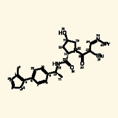 Cc1ncsc1-c1ccc([C@H](C)NC(=O)[C@@H]2C[C@@H](O)CN2C(=O)C(/C=N\C(C)C)C(C)(C)C)cc1